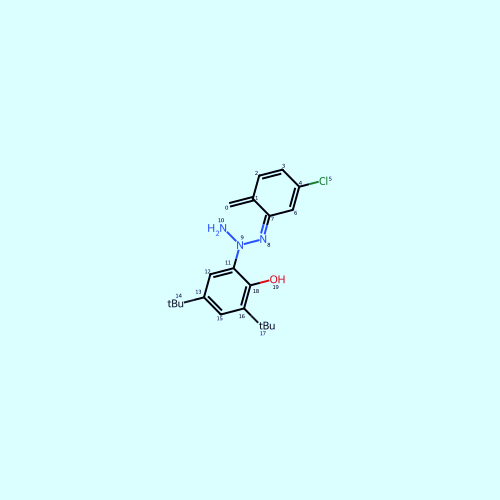 C=C1C=CC(Cl)=C/C1=N/N(N)c1cc(C(C)(C)C)cc(C(C)(C)C)c1O